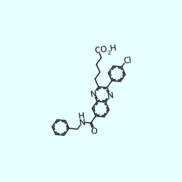 O=C(O)CCCCc1nc2cc(C(=O)NCc3ccccc3)ccc2nc1-c1ccc(Cl)cc1